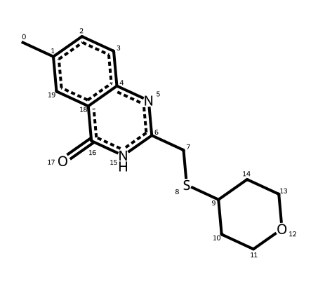 Cc1ccc2nc(CSC3CCOCC3)[nH]c(=O)c2c1